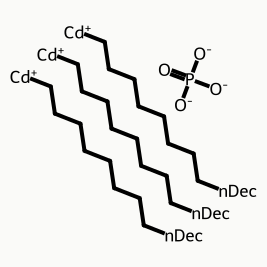 CCCCCCCCCCCCCCCCC[CH2][Cd+].CCCCCCCCCCCCCCCCC[CH2][Cd+].CCCCCCCCCCCCCCCCC[CH2][Cd+].O=P([O-])([O-])[O-]